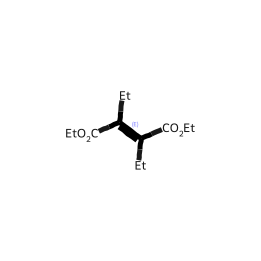 CCOC(=O)/C(CC)=C(\CC)C(=O)OCC